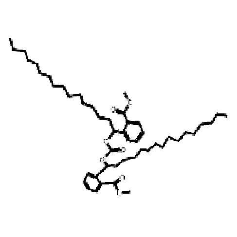 CCCCCCCCCCCCCCCC(OC(=O)OC(CCCCCCCCCCCCCCC)c1ccccc1C(=O)OC)c1ccccc1C(=O)OC